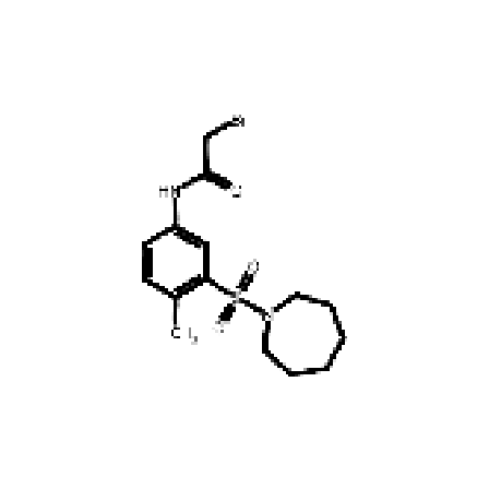 Cc1ccc(NC(=O)CBr)cc1S(=O)(=O)N1CCCCCC1